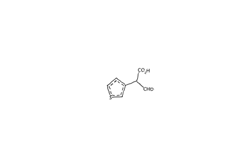 O=[C]C(C(=O)O)c1ccsc1